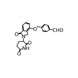 O=Cc1ccc(COc2cccc3c2CN(C2CCC(=O)NC2=O)C3=O)cc1